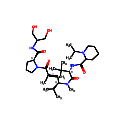 C/C(=C\[C@H](C(C)C)N(C)C(=O)[C@@H](NC(=O)C1CCCCN1C(C)C)C(C)(C)C)C(=O)N1CCC[C@H]1C(=O)NC(CO)CO